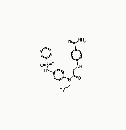 CCN(C(=O)CNc1ccc(C(=N)N)cc1)c1ccc(NS(=O)(=O)c2ccccc2)cc1